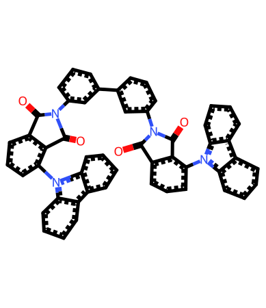 O=C1c2cccc(-n3c4ccccc4c4ccccc43)c2C(=O)N1c1cccc(-c2cccc(N3C(=O)c4cccc(-n5c6ccccc6c6ccccc65)c4C3=O)c2)c1